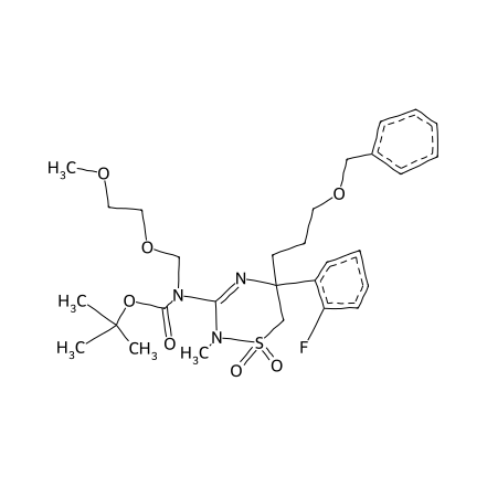 COCCOCN(C(=O)OC(C)(C)C)C1=NC(CCCOCc2ccccc2)(c2ccccc2F)CS(=O)(=O)N1C